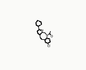 CC(=O)N1Cc2nc(-c3ccccc3)ccc2C=Cc2cc(Cl)ccc21